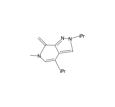 C=C1c2nn(C(C)C)cc2C(C(C)C)=CN1C